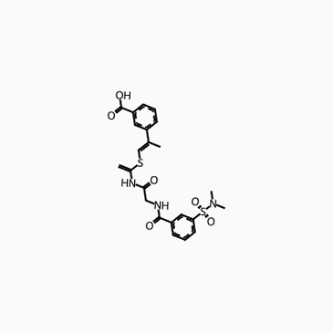 C=C(NC(=O)CNC(=O)c1cccc(S(=O)(=O)N(C)C)c1)S/C=C(\C)c1cccc(C(=O)O)c1